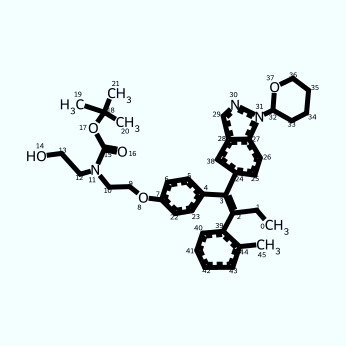 CC/C(=C(/c1ccc(OCCN(CCO)C(=O)OC(C)(C)C)cc1)c1ccc2c(cnn2C2CCCCO2)c1)c1ccccc1C